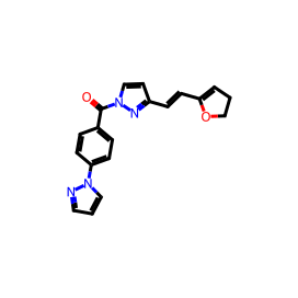 O=C(c1ccc(-n2cccn2)cc1)n1ccc(/C=C/C2=CCCO2)n1